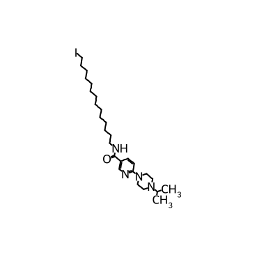 CC(C)N1CCN(c2ccc(C(=O)NCCCCCCCCCCCCCCI)cn2)CC1